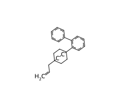 C=CCC12CCC(c3ccccc3-c3ccccc3)(CC1)CC2